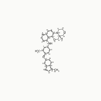 Cc1cc(Nc2ncnc3ccc4c(c23)OC[C@H]2COCCN42)ccc1Oc1ccc2c(c1)ncn2C